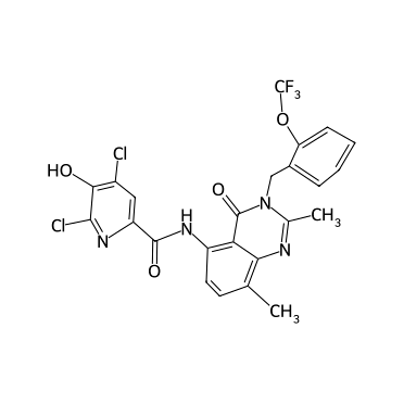 Cc1ccc(NC(=O)c2cc(Cl)c(O)c(Cl)n2)c2c(=O)n(Cc3ccccc3OC(F)(F)F)c(C)nc12